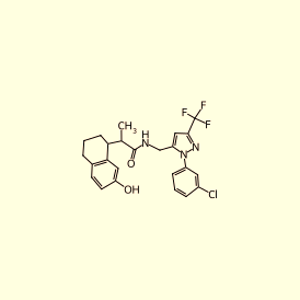 CC(C(=O)NCc1cc(C(F)(F)F)nn1-c1cccc(Cl)c1)C1CCCc2ccc(O)cc21